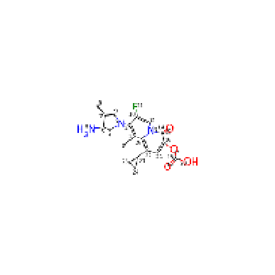 Cc1c(N2C[C@@H](N)[C@@H](C)C2)c(F)cn2c(=O)c(OC(=O)O)cc(C3CC3)c12